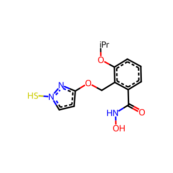 CC(C)Oc1cccc(C(=O)NO)c1COc1ccn(S)n1